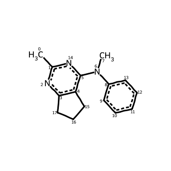 Cc1nc2c(c(N(C)c3ccccc3)n1)CCC2